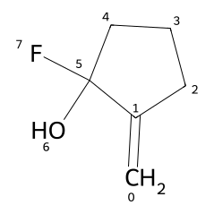 C=C1CCCC1(O)F